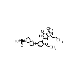 CCCc1nn(C)c2c(=O)[nH]c(-c3cc(N4CCC5(CCCN(C(=O)NO)C5)C4)ccc3OCC)nc12